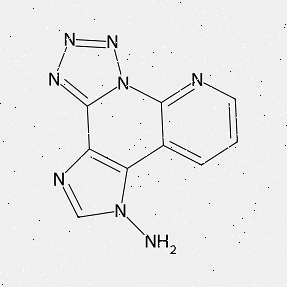 Nn1cnc2c1c1cccnc1n1nnnc21